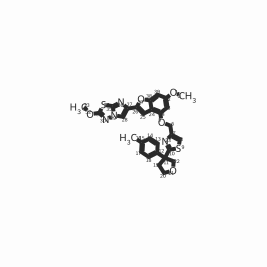 COc1cc(OCc2csc(C3(c4ccc(C)cc4)CCOC3)n2)c2cc(-c3cn4nc(OC)sc4n3)oc2c1